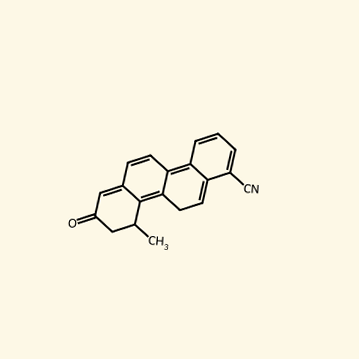 CC1CC(=O)C=c2ccc3c(c21)CC=c1c(C#N)cccc1=3